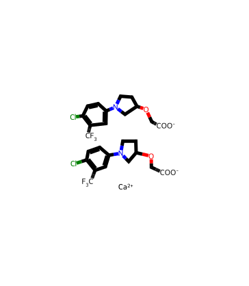 O=C([O-])COC1CCN(c2ccc(Cl)c(C(F)(F)F)c2)C1.O=C([O-])COC1CCN(c2ccc(Cl)c(C(F)(F)F)c2)C1.[Ca+2]